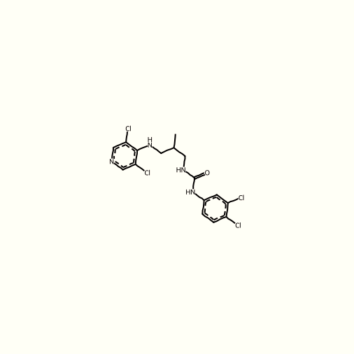 CC(CNC(=O)Nc1ccc(Cl)c(Cl)c1)CNc1c(Cl)cncc1Cl